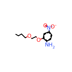 CCCCOCCOc1cc([N+](=O)[O-])ccc1N